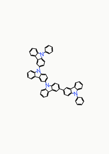 c1ccc(-n2c3ccccc3c3cc(-c4ccc5c(c4)c4ccccc4n5-c4ccc5c(c4)c4ccccc4n5-c4ccc5c(c4)c4ccccc4n5-c4ccccc4)ccc32)cc1